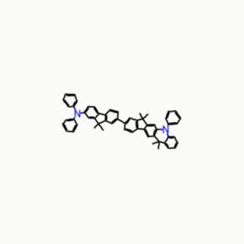 CC1(C)c2cc(-c3ccc4c(c3)C(C)(C)c3cc5c(cc3-4)C(C)(C)c3ccccc3N5c3ccccc3)ccc2-c2ccc(N(c3ccccc3)c3ccccc3)cc21